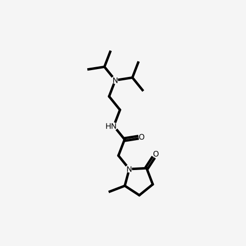 CC1CCC(=O)N1CC(=O)NCCN(C(C)C)C(C)C